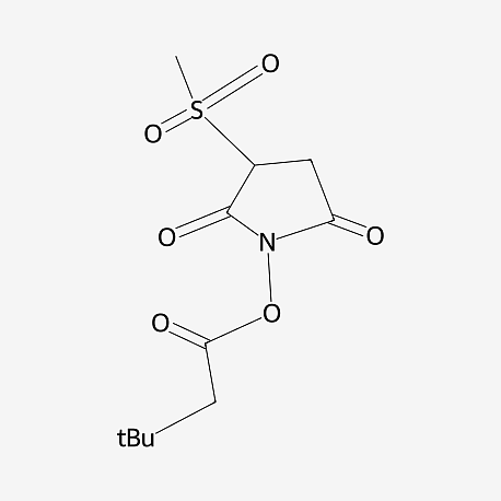 CC(C)(C)CC(=O)ON1C(=O)CC(S(C)(=O)=O)C1=O